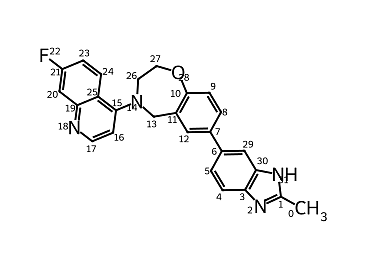 Cc1nc2ccc(-c3ccc4c(c3)CN(c3ccnc5cc(F)ccc35)CCO4)cc2[nH]1